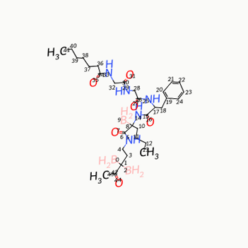 BC(B)(CCNC(=O)C(B)(CCCC)NC(=O)C(Cc1ccccc1)NC(=O)CNC(=O)CNC(=O)CCCCCC)C(C)=O